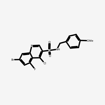 COc1ccc(CNS(=O)(=O)c2cnc3cc(Br)cc(F)c3c2Cl)cc1